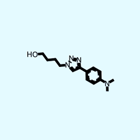 CN(C)c1ccc(-c2cn(CCCCO)nn2)cc1